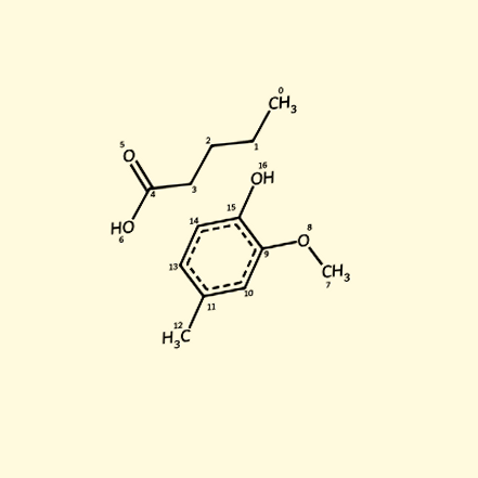 CCCCC(=O)O.COc1cc(C)ccc1O